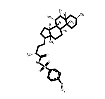 CC[C@H]1[C@@H](O)[C@@H]2[C@H](CC[C@]3(C)[C@@H](CC[C@@H](C)C(=O)NS(=O)(=O)c4ccc(OC(F)(F)F)cc4)CC[C@@H]23)[C@@]2(C)CC[C@@H](O)C[C@@H]12